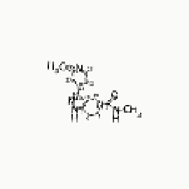 CNC(=O)N1CCc2[nH]nc(-c3ccnc(C)c3)c2C1